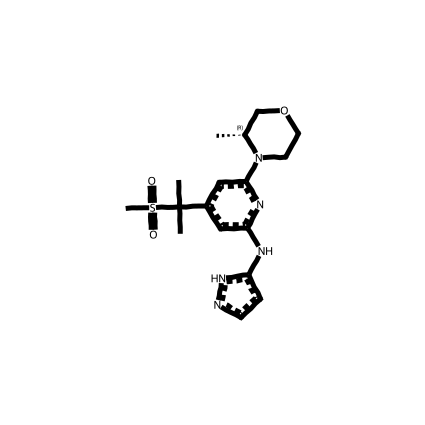 C[C@@H]1COCCN1c1cc(C(C)(C)S(C)(=O)=O)cc(Nc2ccn[nH]2)n1